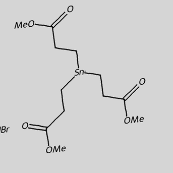 Br.COC(=O)C[CH2][Sn]([CH2]CC(=O)OC)[CH2]CC(=O)OC